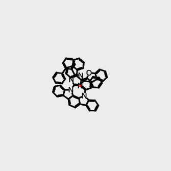 c1ccc(-c2nc(-c3ccccc3-c3ccccc3)nc(-n3c4ccccc4c4ccc5c6ccccc6n(-c6cc(-c7cccc8ccccc78)c7oc8ccccc8c7c6)c5c43)n2)cc1